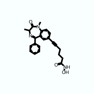 CC1N=C(c2ccccc2)c2cc(C#CCCCC(=O)NO)ccc2N(C)C1=O